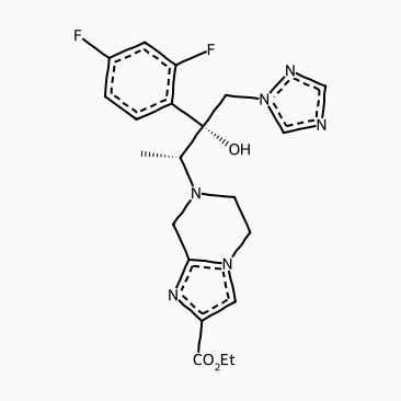 CCOC(=O)c1cn2c(n1)CN([C@H](C)[C@](O)(Cn1cncn1)c1ccc(F)cc1F)CC2